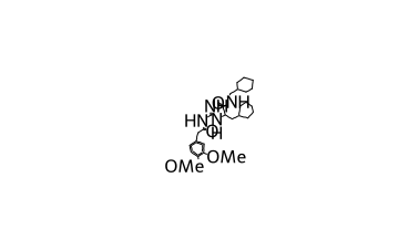 COc1ccc(CC(=O)NC(=N)NC(CC2CCCCC2)C(=O)NCC2CCCCC2)cc1OC